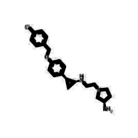 N[C@@H]1CCN(CCN[C@@H]2C[C@H]2c2ccc(OCc3ccc(Cl)cc3)cc2)C1